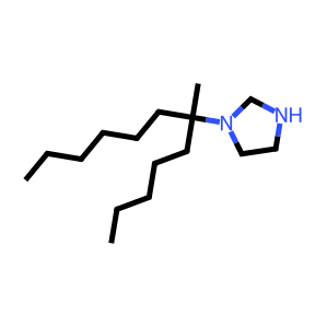 CCCCCCC(C)(CCCCC)N1CCNC1